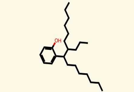 CCCCCCCC(c1ccccc1O)C(CCC)CCCCCC